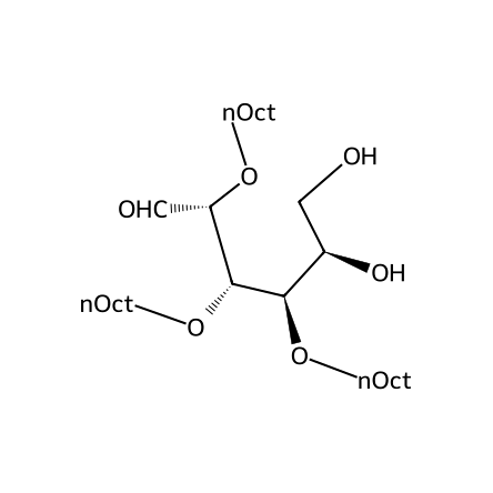 CCCCCCCCO[C@@H]([C@H](OCCCCCCCC)[C@H](C=O)OCCCCCCCC)[C@H](O)CO